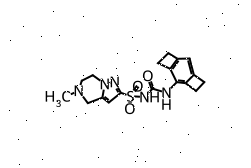 CN1CCn2nc(S(=O)(=O)NC(=O)Nc3c4c(cc5c3CC5)CC4)cc2C1